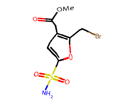 COC(=O)c1cc(S(N)(=O)=O)oc1CBr